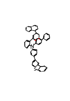 c1ccc(-c2ccc(N(c3ccc(-c4ccc5sc6ccccc6c5c4)cc3)c3ccccc3-c3cccc(-c4cccc5ccccc45)c3)cc2)cc1